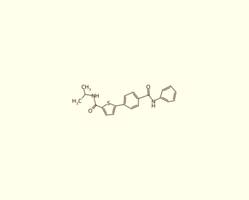 CC(C)NC(=O)c1ccc(-c2ccc(C(=O)Nc3ccccc3)cc2)s1